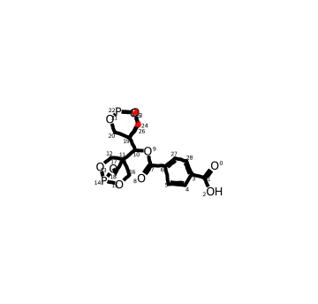 O=C(O)c1ccc(C(=O)OC(C23COP(OC2)OC3)C23COP(OC2)OC3)cc1